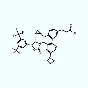 C[C@H]1[C@@H](c2cc(C(F)(F)F)cc(C(F)(F)F)c2)OC(=O)N1Cc1nc(N2CCC2)ccc1-c1cc(CCC(=O)O)ccc1OC1CC1